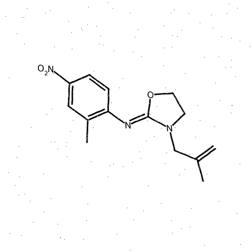 C=C(C)CN1CCO/C1=N\c1ccc([N+](=O)[O-])cc1C